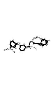 Cc1cccc(OC2CCCC(C(C)CN(C)Cc3ccccc3)C2)c1